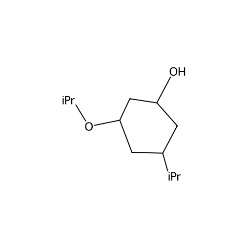 CC(C)OC1CC(O)CC(C(C)C)C1